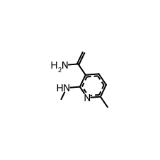 C=C(N)c1ccc(C)nc1NC